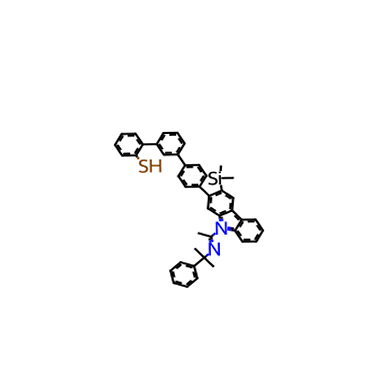 C/C(=N\C(C)(C)c1ccccc1)n1c2ccccc2c2cc3c(cc21)-c1ccc(-c2cccc(-c4ccccc4S)c2)cc1[Si]3(C)C